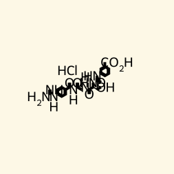 Cl.N=C(N)Nc1ccc(C(=O)NC(=O)CNC(=O)[C@H](CO)NC(=O)Nc2cccc(C(=O)O)c2)cc1